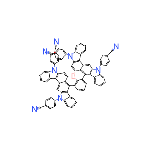 N#Cc1ccc(-n2c3ccccc3c3c4c5c(cc6c(c5cc32)c2ccccc2n6-c2ccc(C#N)cc2)B2c3c-4cccc3-c3c4c2cc2c(c4cc4c3c3ccccc3n4-c3ccc(C#N)cc3)c3ccccc3n2-c2ccc(C#N)cc2)cc1